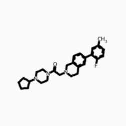 Cc1ccc(F)c(-c2ccc3c(c2)CCN(CC(=O)N2CCN(C4CCCC4)CC2)C3)c1